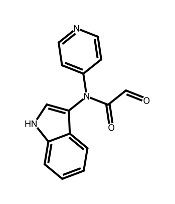 O=CC(=O)N(c1ccncc1)c1c[nH]c2ccccc12